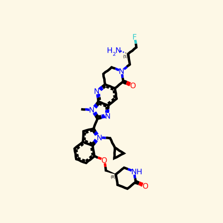 Cn1c(-c2cc3cccc(OC[C@@H]4CCC(=O)NC4)c3n2CC2CC2)nc2cc3c(nc21)CCN(C[C@H](N)CF)C3=O